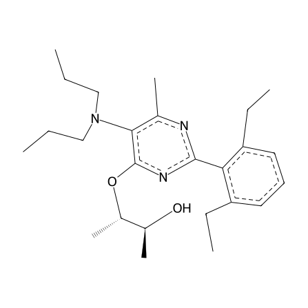 CCCN(CCC)c1c(C)nc(-c2c(CC)cccc2CC)nc1O[C@@H](C)[C@H](C)O